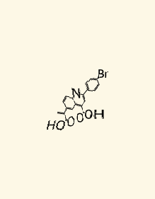 C=C(C(=O)O)c1ccc2nc(-c3ccc(Br)cc3)cc(C(=O)O)c2c1